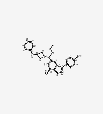 CCCC(c1cn2c(-c3ccc(F)cc3)ncc2c(=O)[nH]1)N1CC(Oc2ccncc2)C1